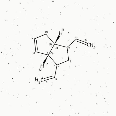 C=CC1CC(C=C)[C@@H]2C=CC[C@H]12